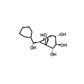 OC[C@]12[C@@H](O)[C@H](O)[C@@H](O)C[N@]1[C@@H]2[C@H](O)C1CCCCC1